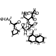 CC(=O)NCC(=O)N1CCC[C@H]1C(=O)N[C@@H](Cc1cccc2ccccc12)C(=O)NC(CC(C)C)C(=O)[C@@]1(C)CO1